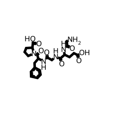 NCC(=O)NC(CCC(=O)O)C(=O)NCC(=O)NC(Cc1ccccc1)C(=O)N1CCCC1C(=O)O